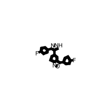 Fc1ccc(-c2n[nH]cc2-c2ccc3noc(-c4ccc(F)cc4)c3c2)cc1